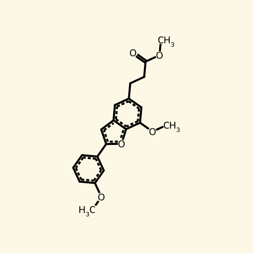 COC(=O)CCc1cc(OC)c2oc(-c3cccc(OC)c3)cc2c1